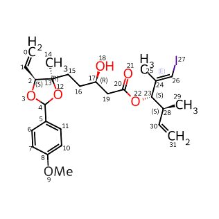 C=C[C@@H]1OC(c2ccc(OC)cc2)O[C@]1(C)CC[C@@H](O)CC(=O)O[C@H](/C(C)=C/I)[C@@H](C)C=C